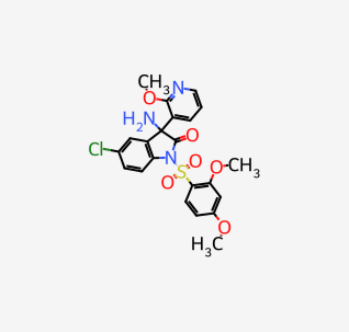 COc1ccc(S(=O)(=O)N2C(=O)C(N)(c3cccnc3OC)c3cc(Cl)ccc32)c(OC)c1